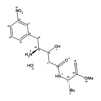 CCC(C)[C@H](NC(=O)CC(O)[C@@H](N)Cc1cccc([N+](=O)[O-])c1)C(=O)OC.Cl